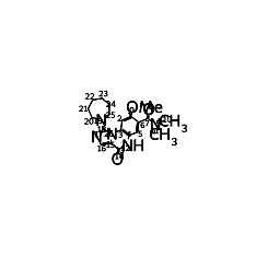 COc1cc2c(cc1C(=O)N(C)C)[nH]c(=O)c1cnc(N3CCCCCC3)n12